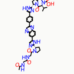 CC(=O)NCC(=O)NCC(=O)N1CCC[C@H]1c1ncc(-c2ccc3nc(-c4ccc(-c5c[nH]c([C@@H]6CCCN6C(=O)[C@H](C(C)C)N(C)C(=O)O)n5)cc4)cnc3c2)[nH]1